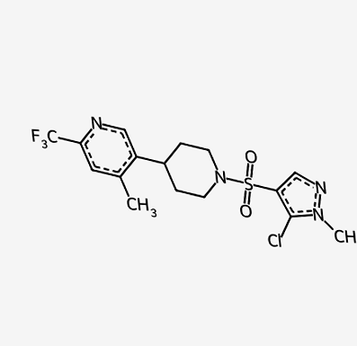 Cc1cc(C(F)(F)F)ncc1C1CCN(S(=O)(=O)c2cnn(C)c2Cl)CC1